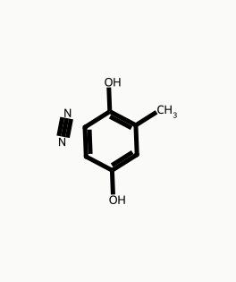 Cc1cc(O)ccc1O.N#N